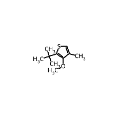 COc1c(C)csc1C(C)(C)C